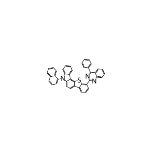 c1ccc(-c2nc(-c3cccc4c3sc3c4ccc4c3c3ccccc3n4-c3cccc4ccccc34)nc3ccccc23)cc1